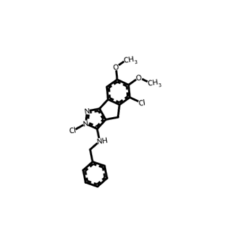 COc1cc2c(c(Cl)c1OC)Cc1c-2nn(Cl)c1NCc1ccccc1